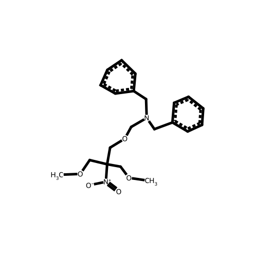 COCC(COC)(COCN(Cc1ccccc1)Cc1ccccc1)[N+](=O)[O-]